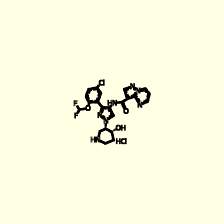 Cl.O=C(Nc1cn([C@@H]2CNCC[C@H]2O)nc1-c1cc(Cl)ccc1OC(F)F)c1cnn2cccnc12